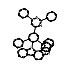 c1ccc(-c2cc(-c3cc(-c4ccccc4)c(-n4c5ccccc5c5ccc6sc7ccccc7c6c54)c(-c4ccccc4)c3)nc(-c3ccccc3)n2)cc1